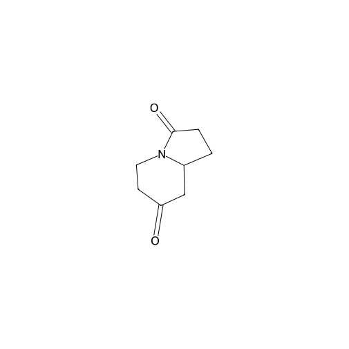 O=C1CCN2C(=O)CCC2C1